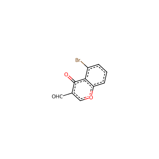 O=Cc1coc2cccc(Br)c2c1=O